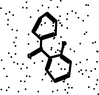 [N]c1ccccc1C(=O)c1ccccc1